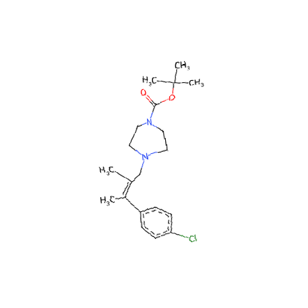 C/C(CN1CCN(C(=O)OC(C)(C)C)CC1)=C(\C)c1ccc(Cl)cc1